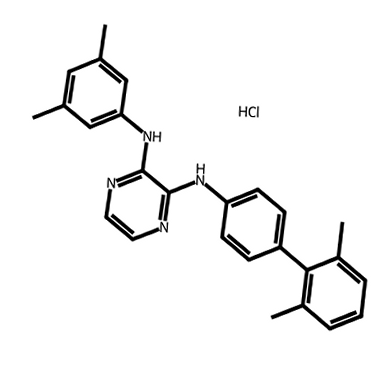 Cc1cc(C)cc(Nc2nccnc2Nc2ccc(-c3c(C)cccc3C)cc2)c1.Cl